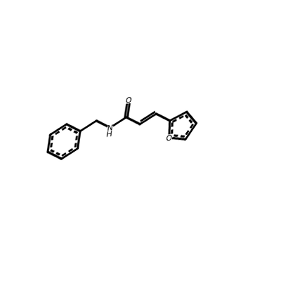 O=C(/C=C/c1ccco1)NCc1ccccc1